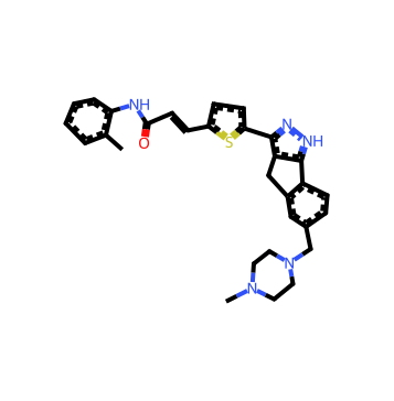 Cc1ccccc1NC(=O)C=Cc1ccc(-c2n[nH]c3c2Cc2cc(CN4CCN(C)CC4)ccc2-3)s1